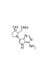 CSCC1[C@H](O)CCN1c1c[nH]c2c(N)ncnc12